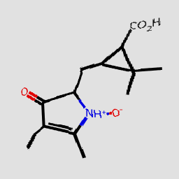 CC1=C(C)[NH+]([O-])C(CC2C(C(=O)O)C2(C)C)C1=O